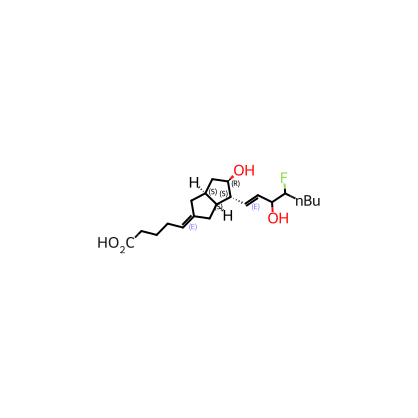 CCCCC(F)C(O)/C=C/[C@@H]1[C@H]2C/C(=C/CCCC(=O)O)C[C@H]2C[C@H]1O